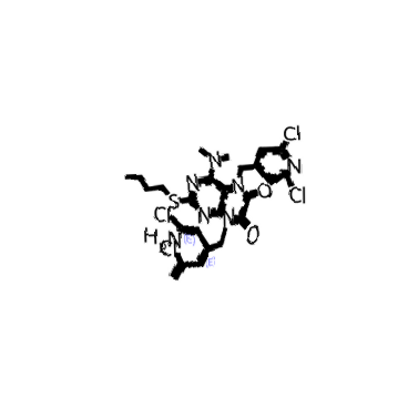 C=C(Cl)/C=C(\C=C(/N)Cl)Cn1c(=O)c(=O)n(Cc2cc(Cl)nc(Cl)c2)c2c(N(C)C)nc(SCCCC)nc21